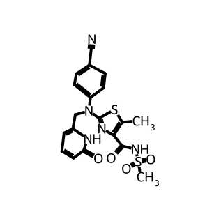 Cc1sc(N(Cc2cccc(=O)[nH]2)c2ccc(C#N)cc2)nc1C(=O)NS(C)(=O)=O